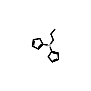 CC[CH2][Hf]([C]1=CC=CC1)[C]1=CC=CC1